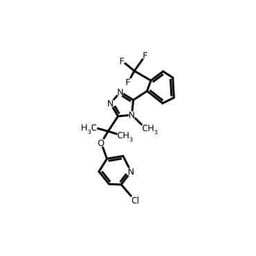 Cn1c(-c2ccccc2C(F)(F)F)nnc1C(C)(C)Oc1ccc(Cl)nc1